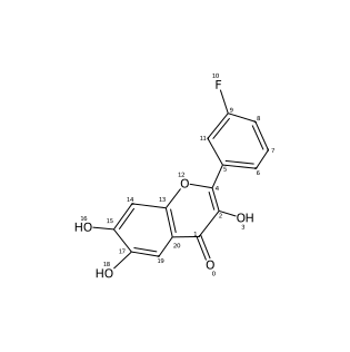 O=c1c(O)c(-c2cccc(F)c2)oc2cc(O)c(O)cc12